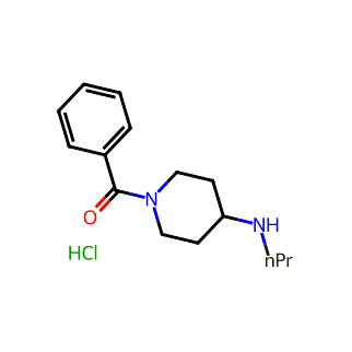 CCCNC1CCN(C(=O)c2ccccc2)CC1.Cl